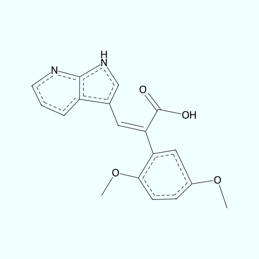 COc1ccc(OC)c(C(=Cc2c[nH]c3ncccc23)C(=O)O)c1